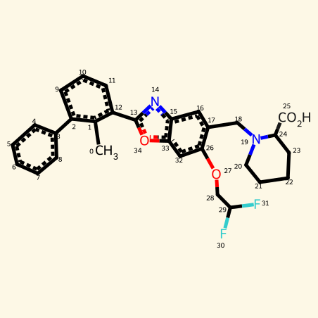 Cc1c(-c2ccccc2)cccc1-c1nc2cc(CN3CCCCC3C(=O)O)c(OCC(F)F)cc2o1